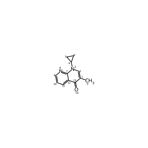 Cc1cn(C2CC2)c2ncccc2c1=O